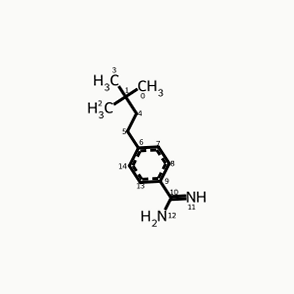 CC(C)(C)CCc1ccc(C(=N)N)cc1